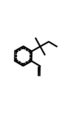 C=Cc1ccccc1C(C)(C)CC